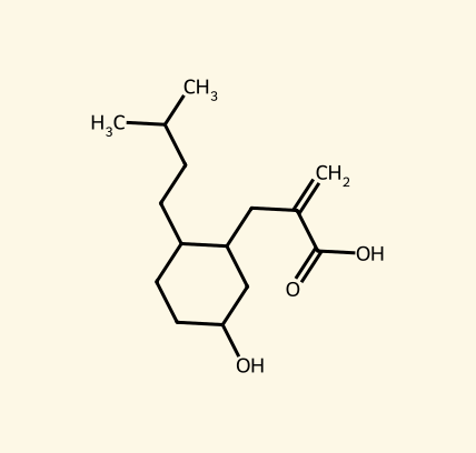 C=C(CC1CC(O)CCC1CCC(C)C)C(=O)O